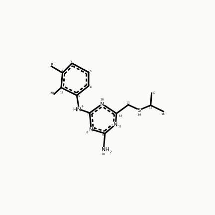 Cc1cccc(Nc2nc(N)nc(CSC(C)C)n2)c1C